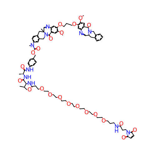 COc1cc2c(cc1OCCCOc1cc3c(cc1OC)C(=O)N1Cc4cc(N(C)C(=O)OCc5ccc(NC(=O)[C@H](C)NC(=O)[C@@H](NC(=O)CCOCCOCCOCCOCCOCCOCCOCCOCCCNC(=O)CCN6C(=O)C=CC6=O)C(C)C)cc5)ccc4CC1(C)C=N3)N=CC1Cc3ccccc3CN1C2=O